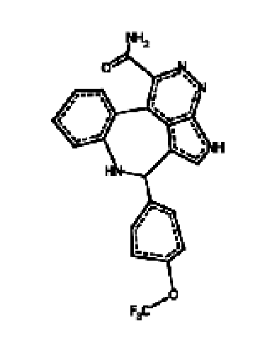 NC(=O)c1nnc2[nH]cc3c2c1-c1ccccc1NC3c1ccc(OC(F)(F)F)cc1